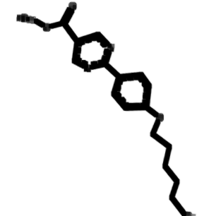 CCCCCCCCCCOC(=O)c1cnc(-c2ccc(OCCCCCC(C)CC)cc2)nc1